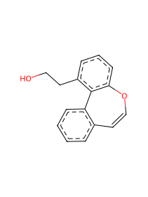 OCCc1cccc2c1-c1ccccc1C=CO2